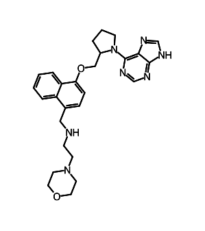 c1ccc2c(OCC3CCCN3c3ncnc4[nH]cnc34)ccc(CNCCN3CCOCC3)c2c1